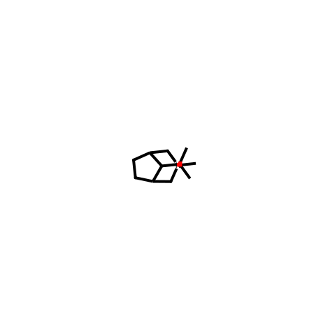 CC(C)C1C2CCC1CN(C)C2